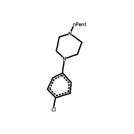 CCCCCN1CCN(c2ccc(Cl)cc2)CC1